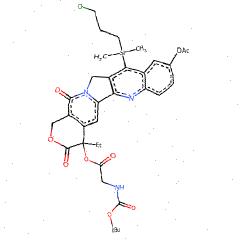 CCC1(OC(=O)CNC(=O)OC(C)(C)C)C(=O)OCc2c1cc1n(c2=O)Cc2c-1nc1ccc(OC(C)=O)cc1c2[Si](C)(C)CCCCl